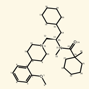 COc1ccccc1C1CCN(C[C@@H](CC2CCCCC2)N(C)C(=O)C2(C)CCCCC2)CC1